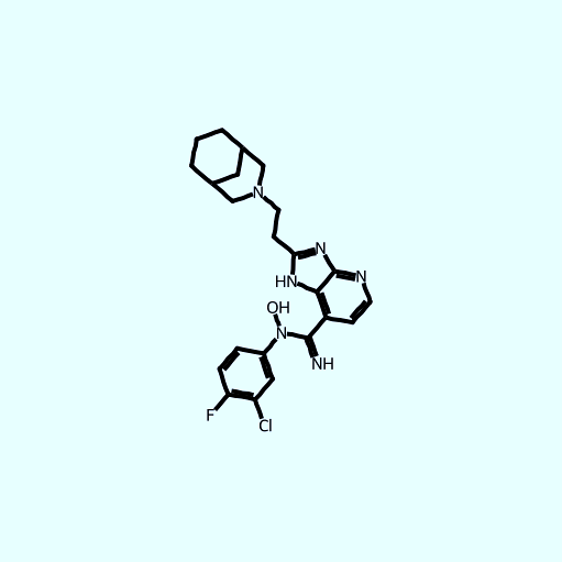 N=C(c1ccnc2nc(CCN3CC4CCCC(C4)C3)[nH]c12)N(O)c1ccc(F)c(Cl)c1